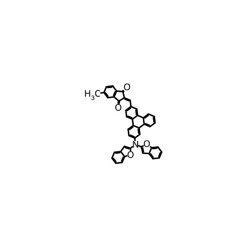 Cc1ccc2c(c1)C(=O)/C(=C\c1ccc3c4ccc(N(c5cc6ccccc6o5)c5cc6ccccc6o5)cc4c4ccccc4c3c1)C2=O